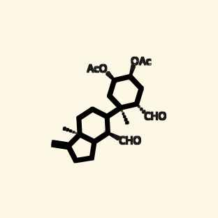 C=C1CCC2[C@H](C=O)C([C@@]3(C)C[C@@H](OC(C)=O)[C@@H](OC(C)=O)C[C@@H]3C=O)CC[C@]12C